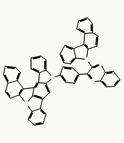 c1ccc2c(c1)ccc1c2c2ccccc2n1-c1nc2ccccc2nc1-c1ccc(-n2c3ccccc3c3c4c5c6ccccc6ccc5n5c6ccccc6c(cc32)c45)cc1